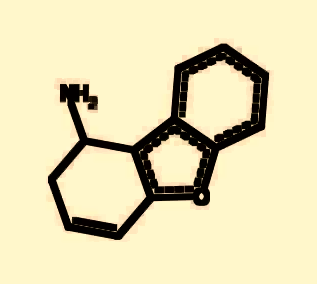 NC1CC=Cc2oc3ccccc3c21